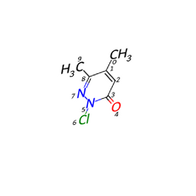 Cc1cc(=O)n(Cl)nc1C